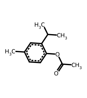 CC(=O)Oc1ccc(C)cc1C(C)C